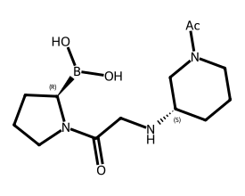 CC(=O)N1CCC[C@H](NCC(=O)N2CCC[C@H]2B(O)O)C1